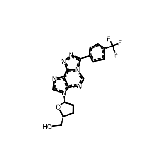 OC[C@@H]1CC[C@H](n2cnc3c2ncn2c(-c4ccc(C(F)(F)F)cc4)nnc32)O1